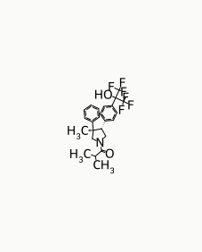 CC(C)C(=O)N1C[C@@H](c2ccc(C(O)(C(F)(F)F)C(F)(F)F)cc2)[C@@](C)(c2ccccc2)C1